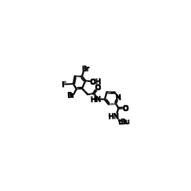 CC(C)(C)NC(=O)c1cc(NC(=O)Cc2c(O)c(Br)cc(F)c2Br)ccn1